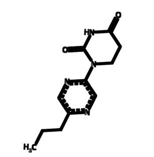 CCCc1cnc(N2CCC(=O)NC2=O)cn1